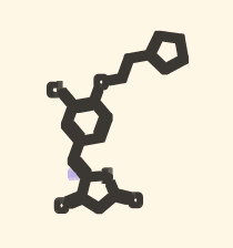 O=C1CC(=O)/C(=C/c2ccc(OCCC3CCCC3)c(Cl)c2)S1